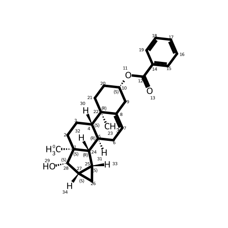 C[C@]12CC[C@H]3[C@@H](CC=C4C[C@@H](OC(=O)c5ccccc5)CC[C@@]43C)[C@@H]1[C@@H]1C[C@@H]1[C@@H]2O